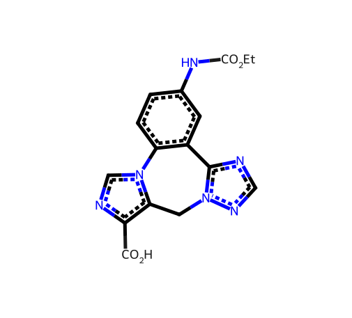 CCOC(=O)Nc1ccc2c(c1)-c1ncnn1Cc1c(C(=O)O)ncn1-2